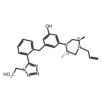 C=CCN1C[C@H](C)N(c2cc(O)cc(Cc3ccccc3-c3nnnn3CC(=O)O)c2)C[C@H]1C